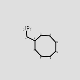 [CH2]C(C)CC1CCCCCCC1